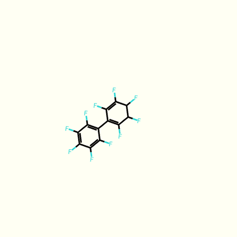 FC1=C(F)C(F)C(F)C(F)=C1c1c(F)c(F)c(F)c(F)c1F